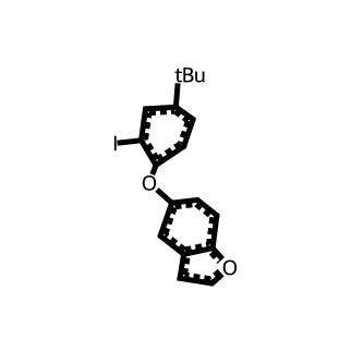 CC(C)(C)c1ccc(Oc2ccc3occc3c2)c(I)c1